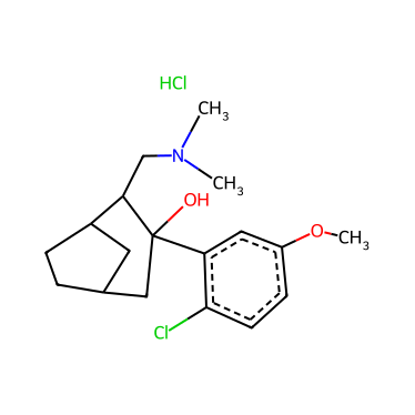 COc1ccc(Cl)c(C2(O)CC3CCC(C3)C2CN(C)C)c1.Cl